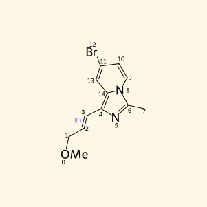 COC/C=C/c1nc(C)n2ccc(Br)cc12